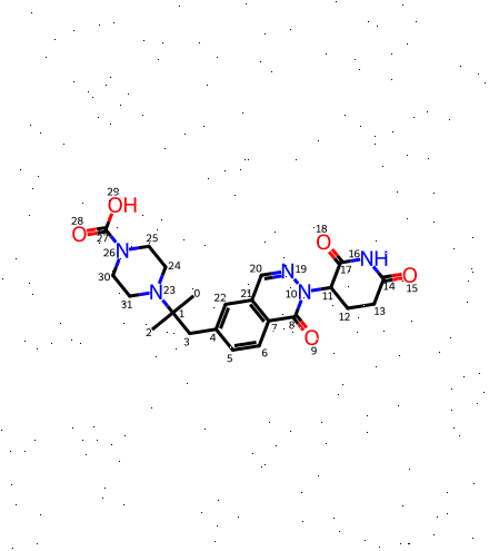 CC(C)(Cc1ccc2c(=O)n(C3CCC(=O)NC3=O)ncc2c1)N1CCN(C(=O)O)CC1